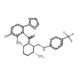 Cc1c(F)ccc(-n2nccn2)c1C(=O)N1CCC[C@@H](C)C1CNc1ccc(C(F)(F)F)cn1